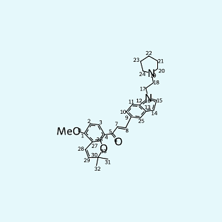 COc1ccc(C(=O)C=Cc2ccc3c(ccn3CCN3CCCCC3)c2)c2c1C=CC(C)(C)O2